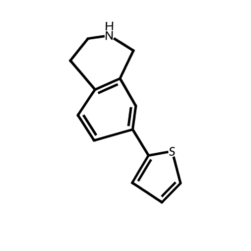 c1csc(-c2ccc3c(c2)CNCC3)c1